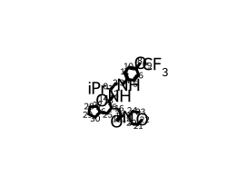 CC(C)[C@@H](CNc1ccc(OC(F)(F)F)cc1)NC(=O)[C@@H](CC(=O)N1CCOCC1)CC1CCCC1